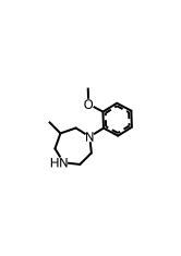 COc1ccccc1N1CCNCC(C)C1